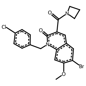 COc1cc2c(cc1Br)cc(C(=O)N1CCC1)c(=O)n2Cc1ccc(Cl)cc1